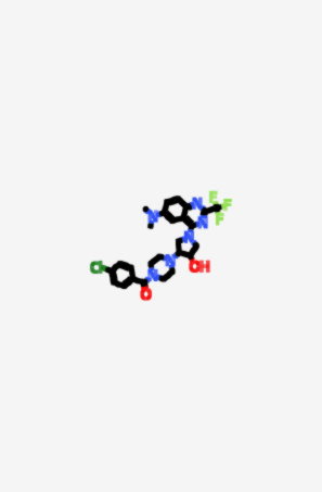 CN(C)c1ccc2nc(C(F)(F)F)nc(N3CC(O)C(N4CCN(C(=O)c5ccc(Cl)cc5)CC4)C3)c2c1